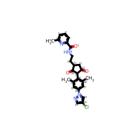 Cc1cccc(C(=O)NCCC2CC(=O)C(c3c(C)cc(-n4cc(Cl)cn4)cc3C)C2=O)n1